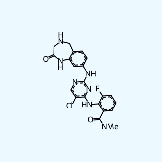 CNC(=O)c1cccc(F)c1Nc1nc(Nc2ccc3c(c2)NC(=O)CNC3)ncc1Cl